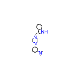 CN(C)c1cccc(N2CCN(Cc3c[nH]c4ccccc34)CC2)c1